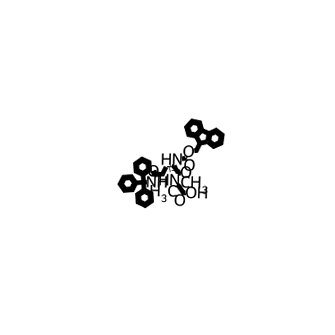 CC(C)(NC(=O)[C@H](CCC(=O)NC(c1ccccc1)(c1ccccc1)c1ccccc1)NC(=O)OCC1c2ccccc2-c2ccccc21)C(=O)O